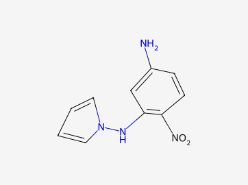 Nc1ccc([N+](=O)[O-])c(Nn2cccc2)c1